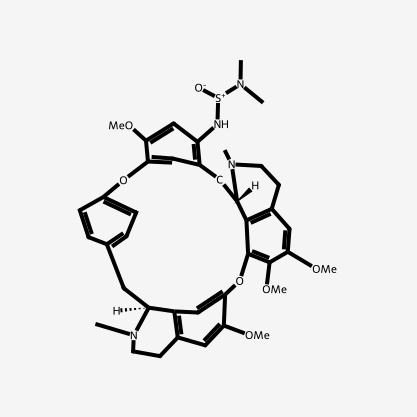 COc1cc(N[S+]([O-])N(C)C)c2cc1Oc1ccc(cc1)C[C@H]1c3cc(c(OC)cc3CCN1C)Oc1c(OC)c(OC)cc3c1[C@H](C2)N(C)CC3